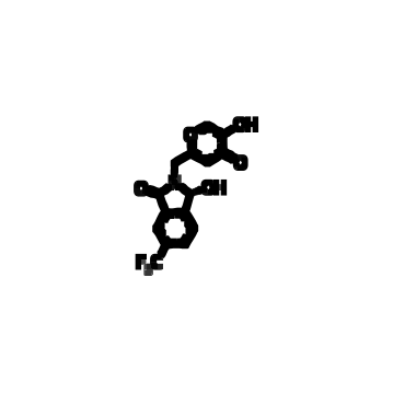 O=C1c2cc(C(F)(F)F)ccc2[C@H](O)N1Cc1cc(=O)c(O)co1